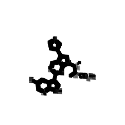 CCOC(=O)[C@H](C)[C@@H](C)n1cc(-c2ccsc2)c2cnc(-c3c[nH]c4ncc(F)cc34)nc21